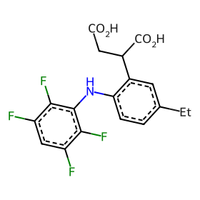 CCc1ccc(Nc2c(F)c(F)cc(F)c2F)c(C(CC(=O)O)C(=O)O)c1